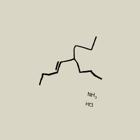 CCC=CC(CCC)CCC.Cl.N